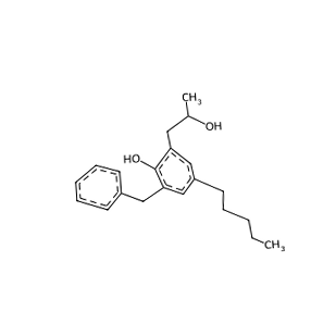 CCCCCc1cc(Cc2ccccc2)c(O)c(CC(C)O)c1